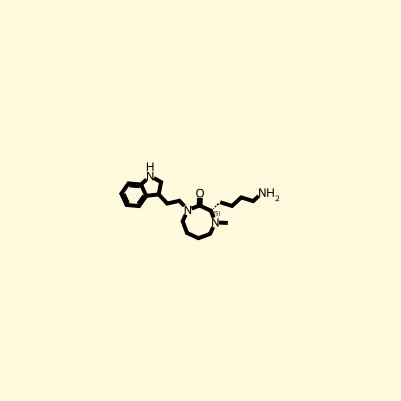 CN1CCCCN(CCC2CNc3ccccc32)C(=O)[C@@H]1CCCCN